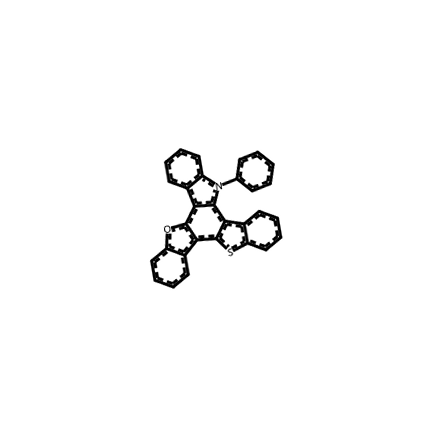 c1ccc(-n2c3ccccc3c3c4oc5ccccc5c4c4sc5ccccc5c4c32)cc1